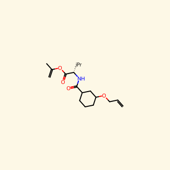 C=CCOC1CCCC(C(=O)N[C@H](C(=O)OC(=C)C)C(C)C)C1